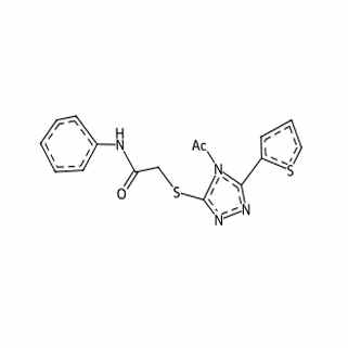 CC(=O)n1c(SCC(=O)Nc2ccccc2)nnc1-c1cccs1